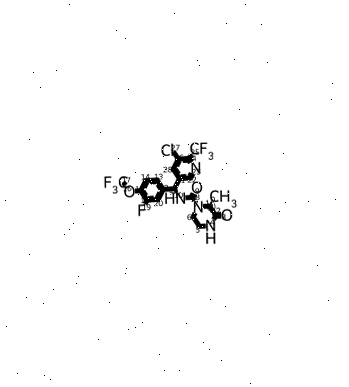 C[C@@H]1C(=O)NCCN1C(=O)N[C@@H](c1ccc(OC(F)(F)F)c(F)c1)c1cnc(C(F)(F)F)c(Cl)c1